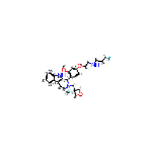 COc1cc(OCCNCCCF)ccc1[C@@H]1c2[nH]c3ccccc3c2C[C@@H](C)N1CC1(F)COC1